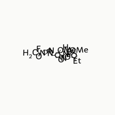 C=C(F)C(=O)N1Cc2cnn(Cc3cc(OC)c4c(NS(=O)(=O)c5cc(CC)ccc5OC)noc4c3)c2C1